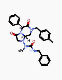 CCCN(C(=O)NCc1ccccc1)N1CC(=O)N2[C@@H](c3ccccc3)C(=O)N(Cc3ccc(C)cc3)C[C@@H]21